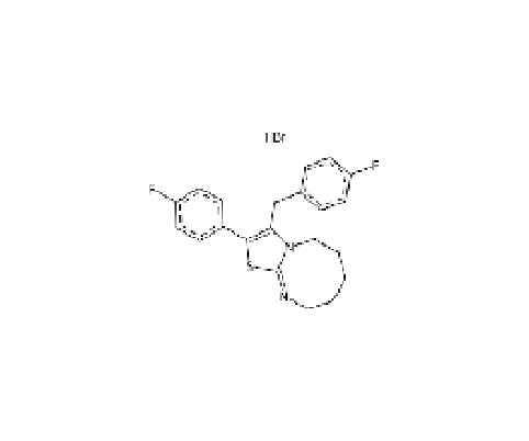 Br.Fc1ccc(CC2=C(c3ccc(F)cc3)S/C3=N/CCCCCN23)cc1